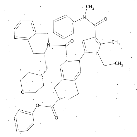 CCn1c(-c2cc3c(cc2C(=O)N2Cc4ccccc4C[C@H]2CN2CCOCC2)CN(C(=O)Oc2ccccc2)CC3)cc(C(=O)N(C)c2ccccc2)c1C